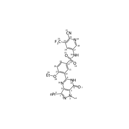 CCCc1nn(C)c2c(=O)[nH]c(-c3cc(S(=O)(=O)Nc4cnc(C#N)c(C(F)(F)F)c4)ccc3OCC)nc12